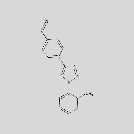 Cc1ccccc1-n1cc(-c2ccc(C=O)cc2)nn1